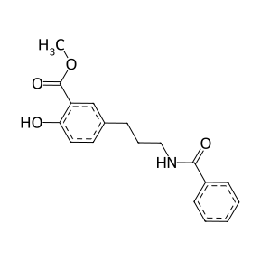 COC(=O)c1cc(CCCNC(=O)c2ccccc2)ccc1O